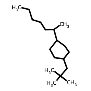 CCCCC[C](C)C1CCC(CC(C)(C)C)CC1